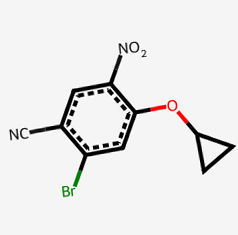 N#Cc1cc([N+](=O)[O-])c(OC2CC2)cc1Br